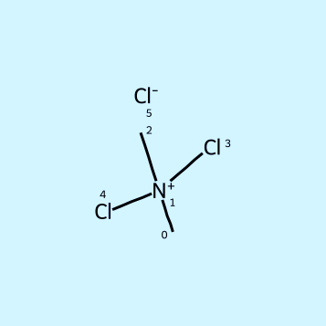 C[N+](C)(Cl)Cl.[Cl-]